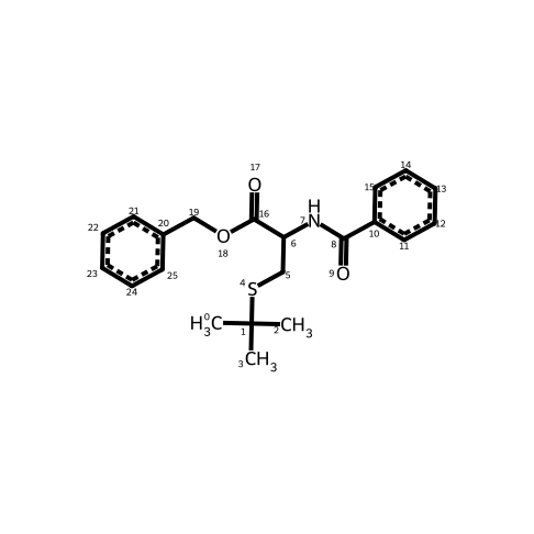 CC(C)(C)SCC(NC(=O)c1ccccc1)C(=O)OCc1ccccc1